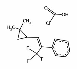 CC1(C)CC1C=C(c1ccccc1)C(F)(F)F.O=C(O)Cl